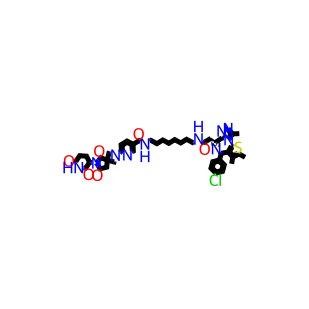 Cc1sc2c(c1C)C(c1ccc(Cl)cc1)=N[C@@H](CC(=O)NCCCCCCCCNC(=O)c1ccc(N3CC4(CC(=O)N(C5CCC(=O)NC5=O)C4=O)C3)nc1)c1nnc(C)n1-2